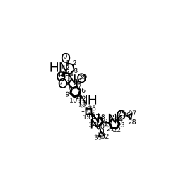 O=C1CCC(N2C(=O)c3ccc(NC[C@H]4C[C@H](n5cc(-c6cccc(OC7CC7)n6)c(C6CC6)n5)C4)cc3C2=O)C(=O)N1